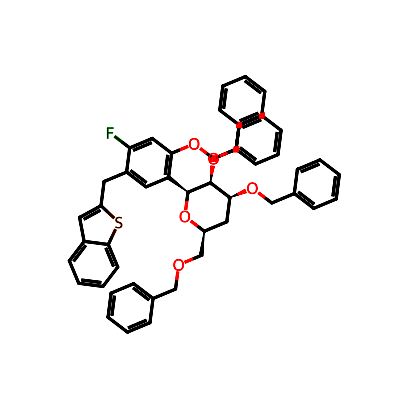 Fc1cc(OCc2ccccc2)c([C@@H]2O[C@H](COCc3ccccc3)C[C@H](OCc3ccccc3)[C@@H]2OCc2ccccc2)cc1Cc1cc2ccccc2s1